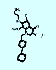 COc1c(NCCN)c(F)cc2c(=O)c(C(=O)O)cn(Cc3ccc(-c4ccccc4)cc3)c12